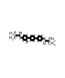 C=C(C)C(=O)Sc1ccc(-c2ccc(-c3ccc(SC(=O)C(=C)C)cc3F)cc2)cc1